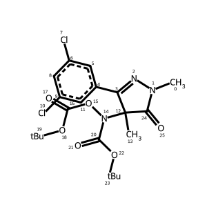 CN1N=C(c2cc(Cl)cc(Cl)c2)C(C)(N(OC(=O)OC(C)(C)C)C(=O)OC(C)(C)C)C1=O